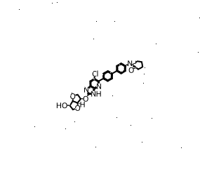 O=S1(=Nc2ccc(-c3ccc(-c4nc5[nH]c(O[C@@H]6COC7[C@H](O)CO[C@@H]76)nc5cc4Cl)cc3)cc2)CCCC1